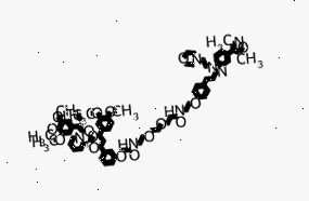 CC[C@H](C(=O)N1CCCC[C@H]1C(=O)OC(CCc1ccc(OC)c(OC)c1)c1cccc(OCC(=O)NCCOCCOCCC(=O)NCCOc2ccc(CCc3nc4cc(-c5c(C)noc5C)ccc4n3CCN3CCOCC3)cc2)c1)c1cc(OC)c(OC)c(OC)c1